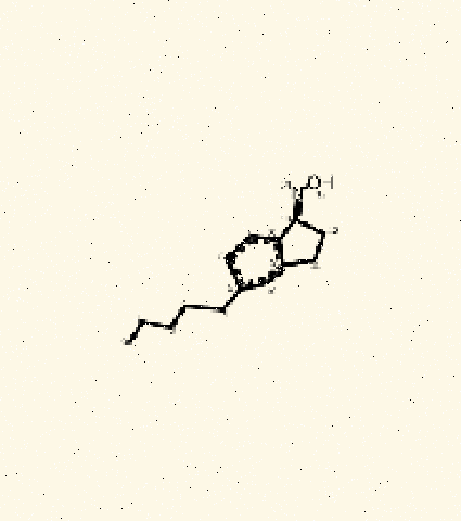 CCCCCc1ccc2c(c1)CC/C2=N\O